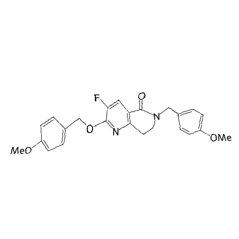 COc1ccc(COc2nc3c(cc2F)C(=O)N(Cc2ccc(OC)cc2)CC3)cc1